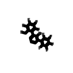 FCc1c(F)c(F)c(F)c(F)c1-c1cccc(-c2c(F)c(F)c(F)c(F)c2F)c1Br